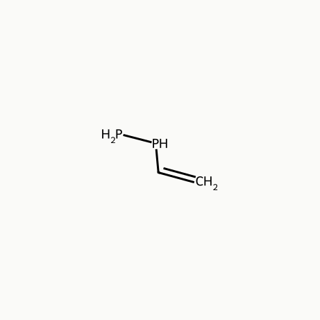 C=CPP